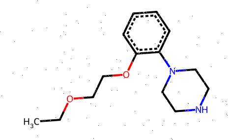 CCOCCOc1ccccc1N1CCNCC1